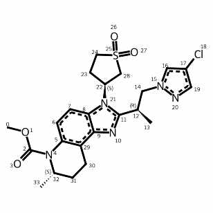 COC(=O)N1c2ccc3c(nc([C@H](C)Cn4cc(Cl)cn4)n3[C@H]3CCS(=O)(=O)C3)c2CC[C@@H]1C